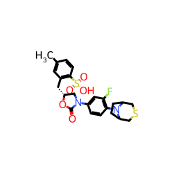 Cc1ccc(S(=O)(=O)O)c(C[C@@H]2CN(c3ccc(N4C5CCC4CSC5)c(F)c3)C(=O)O2)c1